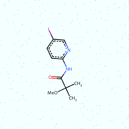 COC(C)(C)C(=O)Nc1ccc(I)cn1